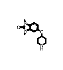 Cn1c(=O)n(C)c2cc(OC3CCNCC3)ccc21